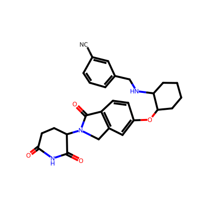 N#Cc1cccc(CNC2CCCCC2Oc2ccc3c(c2)CN(C2CCC(=O)NC2=O)C3=O)c1